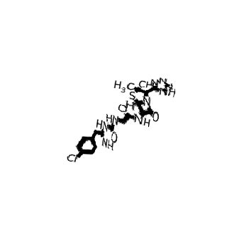 CC1(C)S[C@H]2C(NC(=O)CNC(=O)NC(=N)Cc3ccc(Cl)cc3)C(=O)N2C1c1nnn[nH]1